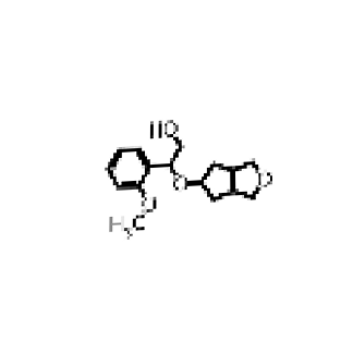 COc1ccccc1C(CO)OC1CC2COCC2C1